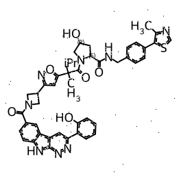 Cc1ncsc1-c1ccc(CNC(=O)[C@@H]2C[C@@H](O)CN2C(=O)C(C)(c2cc(C3CN(C(=O)c4ccc5[nH]c6nnc(-c7ccccc7O)cc6c5c4)C3)no2)C(C)C)cc1